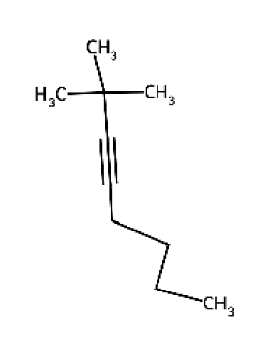 CCCCC#CC(C)(C)C